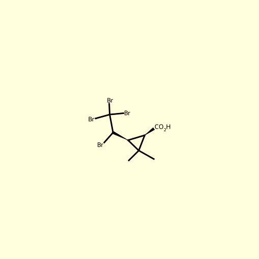 CC1(C)[C@H](C(=O)O)[C@@H]1C(Br)C(Br)(Br)Br